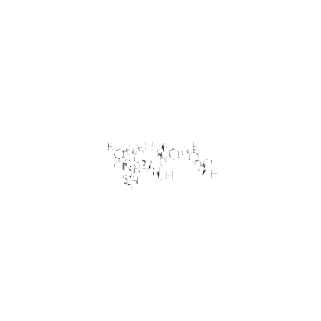 COC(=O)C1=C(CN2CCN(C)C(CN(C=O)c3ccc(Oc4ccc(C(=O)OC)cc4F)cc3F)C2)NC(c2nccs2)=N[C@H]1c1ccc(F)cc1Cl